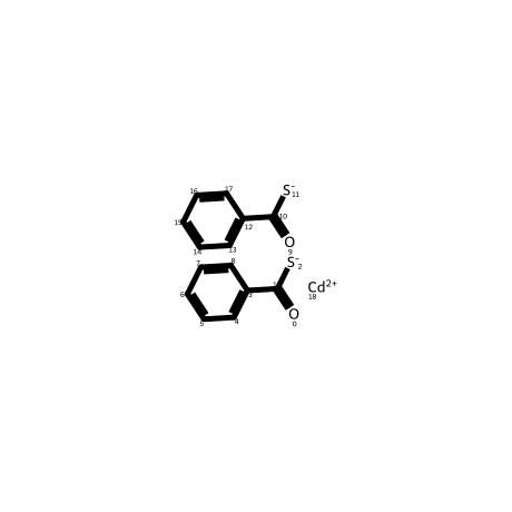 O=C([S-])c1ccccc1.O=C([S-])c1ccccc1.[Cd+2]